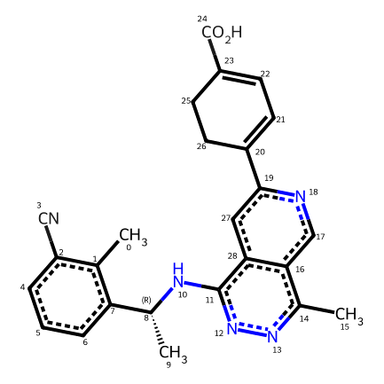 Cc1c(C#N)cccc1[C@@H](C)Nc1nnc(C)c2cnc(C3=CC=C(C(=O)O)CC3)cc12